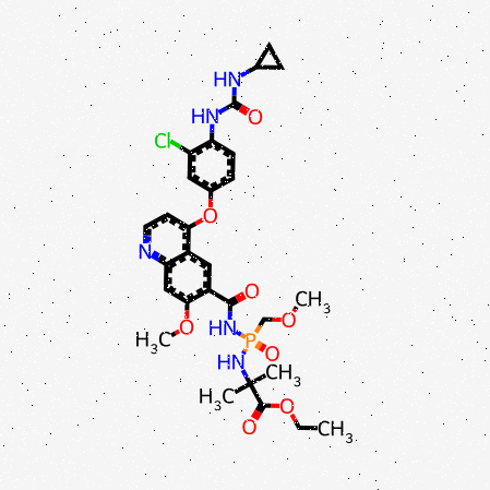 CCOC(=O)C(C)(C)NP(=O)(COC)NC(=O)c1cc2c(Oc3ccc(NC(=O)NC4CC4)c(Cl)c3)ccnc2cc1OC